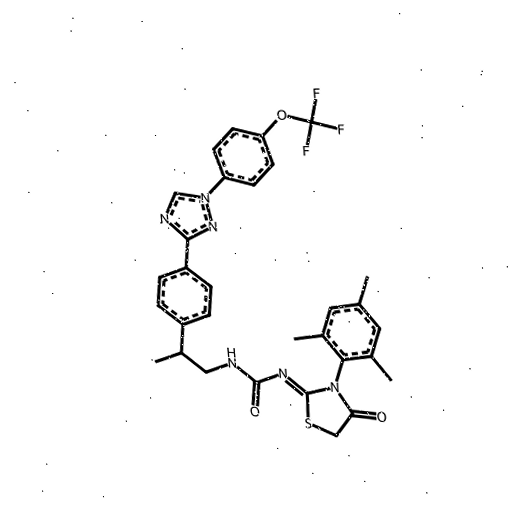 Cc1cc(C)c(N2C(=O)CS/C2=N\C(=O)NCC(C)c2ccc(-c3ncn(-c4ccc(OC(F)(F)F)cc4)n3)cc2)c(C)c1